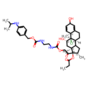 CCC(=O)O[C@]1(C(=O)COC(=O)NCCNC(=O)OCc2ccc(NC(C)C)cc2)[C@@H](C)CC2[C@@H]3CCC4=CC(O)C=C[C@]4(C)[C@@]3(Cl)[C@@H](O)C[C@@]21C